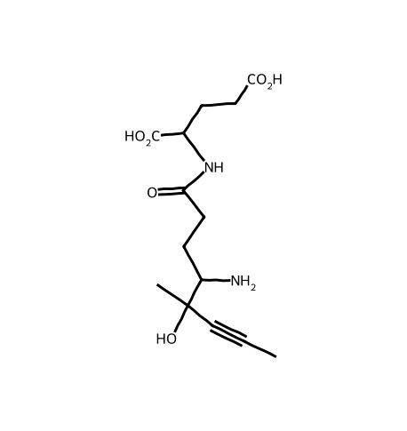 CC#CC(C)(O)C(N)CCC(=O)NC(CCC(=O)O)C(=O)O